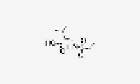 C=CS(=O)(=O)NCC(C(=O)O)C(C)C